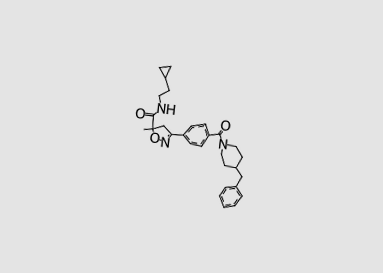 CC1(C(=O)NCCC2CC2)CC(c2ccc(C(=O)N3CCC(Cc4ccccc4)CC3)cc2)=NO1